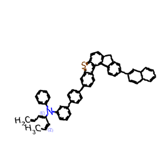 C=C/C=C(\C=C/C)N(c1ccccc1)c1cccc(-c2ccc(-c3ccc4c(c3)sc3ccc5c(c34)-c3ccc(C4=CC6C=CC=CC6C=C4)cc3C5)cc2)c1